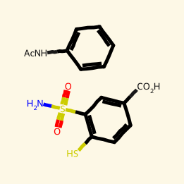 CC(=O)Nc1ccccc1.NS(=O)(=O)c1cc(C(=O)O)ccc1S